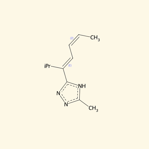 C/C=C\C=C(\c1nnc(C)[nH]1)C(C)C